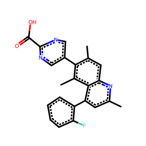 Cc1cc(-c2ccccc2F)c2c(C)c(-c3cnc(C(=O)O)nc3)c(C)cc2n1